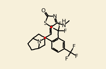 CNC1=NC(=O)S/C1=C\C1CC2CCC(C1)N2Cc1ccc(C(F)(F)F)cc1C(F)(F)F